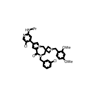 COc1ccc(CN2CC3(C2)CN(Cc2cccc(Cl)c2)C(=O)c2cc(-c4cc(NC(C)C)ncc4Cl)cn2C3)c(OC)c1